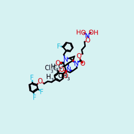 CC1(C(=O)N(Cc2ccccc2F)C2CC2)C(c2ccc(CCCOc3c(F)ccc(F)c3F)cc2)CC2CN(C(=O)OCCCCON(O)O)CC1N2C(=O)OC(C)(C)C(Cl)(Cl)Cl